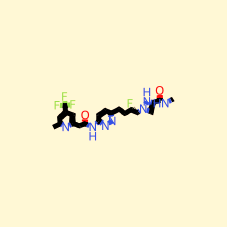 CNC(=O)c1cn(C[C@H](F)CCc2ccc(NC(=O)Cc3cc(C(F)(F)F)cc(C)n3)nn2)[nH]1